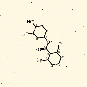 N#CC1CCC(OC(=O)C2C(F)CCCC2F)CC1F